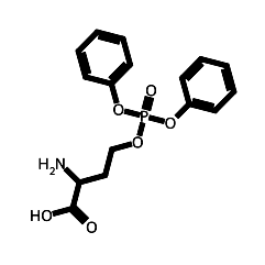 NC(CCOP(=O)(Oc1ccccc1)Oc1ccccc1)C(=O)O